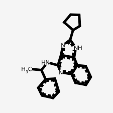 CC(Nc1nc2ccccc2c2[nH]c(C3CCCC3)nc12)c1ccccc1